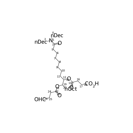 CCCCCCCCCCN(CCCCCCCCCC)C(=O)CCCCCCCC(OC(=O)CCC(=O)O)C(CCCCCCCC)OC(=O)CCC=O